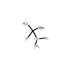 [Li][C](C)(SC)[S+](C)[O-]